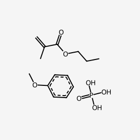 C=C(C)C(=O)OCCC.COc1ccccc1.O=P(O)(O)O